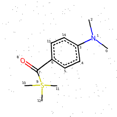 CN(C)c1ccc(C(=O)S(C)(C)C)cc1